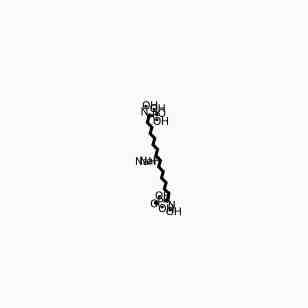 O=P(O)(O)/C(CCCCCCCCCCCCCC/C(=N/O)P(=O)(O)O)=N\O.[NaH].[NaH]